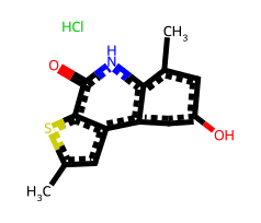 Cc1cc2c(s1)c(=O)[nH]c1c(C)cc(O)cc12.Cl